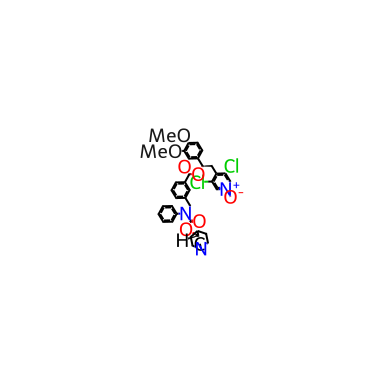 COc1ccc([C@@H](Cc2c(Cl)c[n+]([O-])cc2Cl)OC(=O)c2cccc(CN(C(=O)O[C@H]3CN4CCC3CC4)c3ccccc3)c2)cc1OC